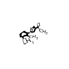 CC(=O)c1cnn(-c2cccc(C)c2C)c1